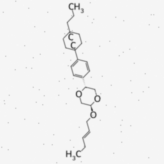 CC/C=C/CO[C@H]1CO[C@H](c2ccc(C34CCC(CCC)(CC3)CC4)cc2)CO1